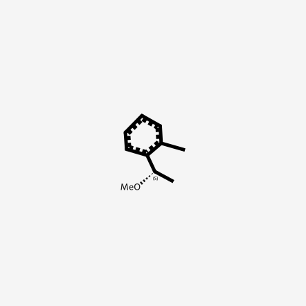 CO[C@@H](C)c1ccccc1C